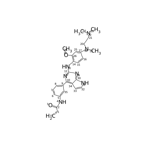 C=CC(=O)Nc1cccc(-c2nc(Nc3ccc(N(C)CCN(C)C)cc3OC)nc3[nH]ccc23)c1